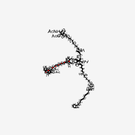 CC(=O)N[C@H]1C2OC[C@](OCCOCCOCCOCCn3cc(COCC(COCc4cn(CCOCCOCCOCCO[C@]56CO[C@H](C[C@@H](OC(C)=O)[C@H]5OC(C)=O)O6)nn4)(COCc4cn(CCOCCOCCOCCO[C@]56COC(C[C@@H](OC(C)=O)[C@H]5OC(C)=O)O6)[nH]4)NC(=O)CCCCCNC(=O)CCCCCOC4OCC(NC(=O)CCCCCSSc5ccccn5)CO4)[nH]3)(O2)[C@H](OC(C)=O)[C@@H]1OC(C)=O